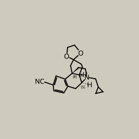 N#Cc1ccc2c(c1)[C@@]13CCN(CC4CC4)[C@@H](C2)[C@H]1CCC1(C3)OCCO1